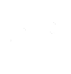 Cc1cc(F)ncc1NN